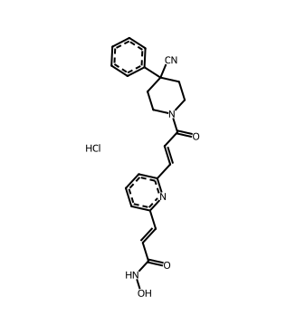 Cl.N#CC1(c2ccccc2)CCN(C(=O)C=Cc2cccc(C=CC(=O)NO)n2)CC1